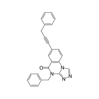 O=c1c2cc(C#CCc3ccccc3)ccc2n2cnnc2n1Cc1ccccc1